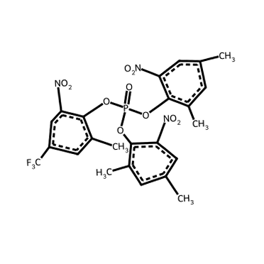 Cc1cc(C)c(OP(=O)(Oc2c(C)cc(C)cc2[N+](=O)[O-])Oc2c(C)cc(C(F)(F)F)cc2[N+](=O)[O-])c([N+](=O)[O-])c1